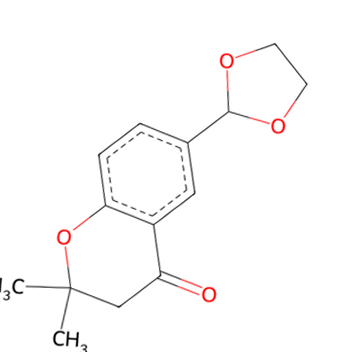 CC1(C)CC(=O)c2cc(C3OCCO3)ccc2O1